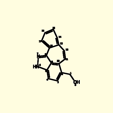 OCc1ccc2[nH]nc3c2c1C=Cc1ccccc1-3